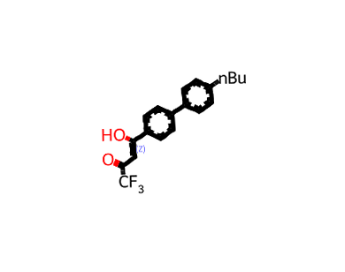 CCCCc1ccc(-c2ccc(/C(O)=C/C(=O)C(F)(F)F)cc2)cc1